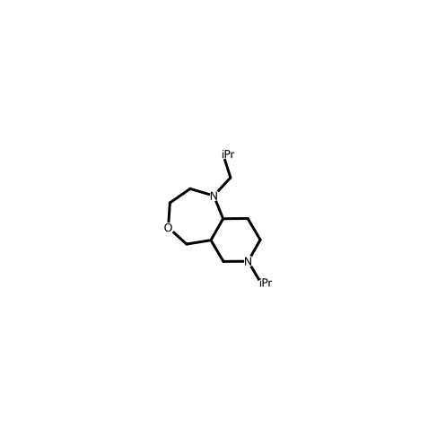 CC(C)CN1CCOCC2CN(C(C)C)CCC21